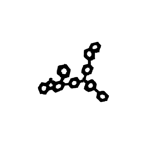 c1ccc(-c2ccc(N(c3ccc(-c4ccc5ccccc5c4)cc3)c3ccc(-c4ccc5c(sc6ccccc65)c4-c4ccccc4)cc3)cc2)cc1